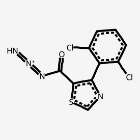 N=[N+]=NC(=O)c1scnc1-c1c(Cl)cccc1Cl